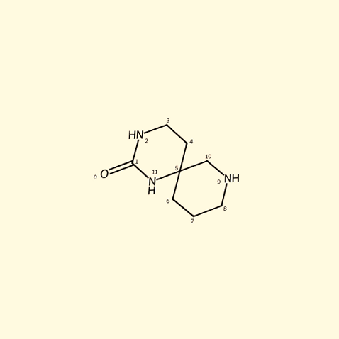 O=C1NCCC2(CCCNC2)N1